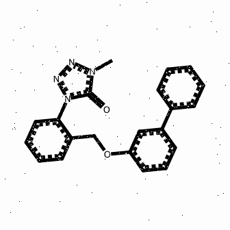 Cn1nnn(-c2ccccc2COc2cccc(-c3ccccc3)c2)c1=O